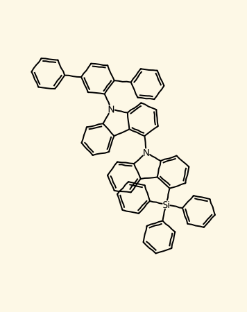 c1ccc(-c2ccc(-c3ccccc3)c(-n3c4ccccc4c4c(-n5c6ccccc6c6c([Si](c7ccccc7)(c7ccccc7)c7ccccc7)cccc65)cccc43)c2)cc1